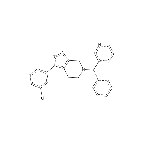 Clc1cncc(-c2nnc3n2CCN(C(c2ccccc2)c2cccnc2)C3)c1